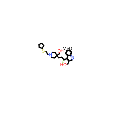 COc1ccc2ncc(CO)c([C@H](F)CCC3(CO)CCN(CCSC4CCCC4)CC3)c2c1